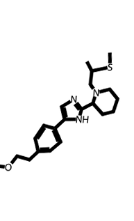 COCCc1ccc(-c2cnc(C3CCCCN3CC(C)SC)[nH]2)cc1